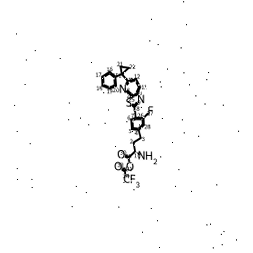 N[C@@H](CCc1ccc(-c2nc3ccc(C4(c5ccccc5)CC4)nc3s2)c(F)c1)C(=O)OC(=O)C(F)(F)F